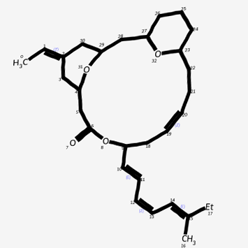 C/C=C1\CC2CC(=O)OC(/C=C/C=C\C=C(/C)CC)C/C=C\CCC3CCCC(CC(C1)O2)O3